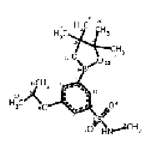 CNS(=O)(=O)c1cc(OC(C)C)cc(B2OC(C)(C)C(C)(C)O2)c1